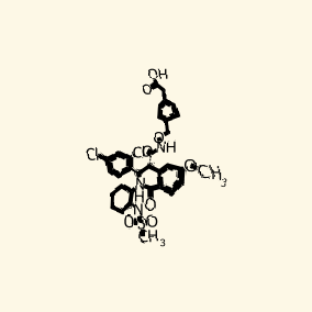 COc1ccc2c(c1)[C@@H](C(=O)NOCc1ccc(CC(=O)O)cc1)[C@H](c1ccc(Cl)cc1Cl)N(C1CCCC[C@@H]1NS(C)(=O)=O)C2=O